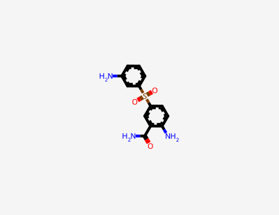 NC(=O)c1cc(S(=O)(=O)c2cccc(N)c2)ccc1N